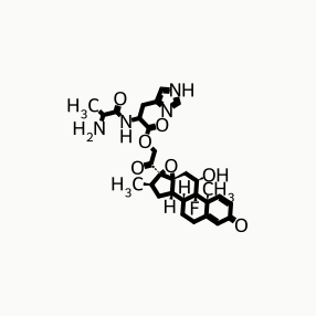 CC(N)C(=O)NC(Cc1c[nH]cn1)C(=O)OCC(=O)[C@]12O[C@@]13C[C@H](O)[C@@]1(F)[C@@H](CCC4=CC(=O)C=C[C@@]41C)[C@@H]3C[C@H]2C